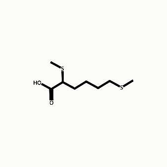 CSCCCCC(SC)C(=O)O